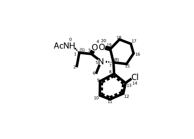 CC(=O)N[C@@H](C)C(=O)N(C)[C@@]1(c2ccccc2Cl)CCCCC1=O